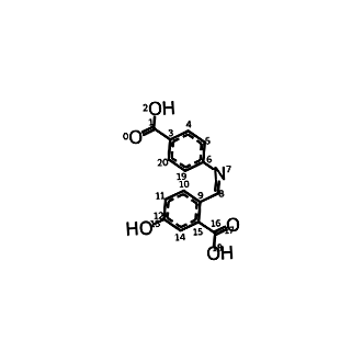 O=C(O)c1ccc(/N=C\c2ccc(O)cc2C(=O)O)cc1